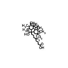 CC1C(C)N(C)C(C)(C)CC1C(CCCCCCCC(=O)O)(C(=O)O)C1CC(C)(C)N(C)C(C)C1C